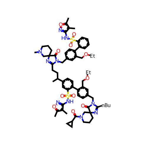 CCCCC1=NC2(CCCN(C(=O)C3CC3)C2)C(=O)N1Cc1ccc(-c2ccc(C(C)CCC3=NC4(CCCN(C)C4)C(=O)N3Cc3ccc(-c4ccccc4S(=O)(=O)Nc4noc(C)c4C)c(COCC)c3)cc2S(=O)(=O)Nc2noc(C)c2C)c(COCC)c1